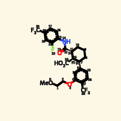 COCCOc1cc([C@H]2CCC[C@@H](C(=O)Nc3ccc(C(F)(F)F)cc3F)[C@@H]2C(=O)O)ccc1C(F)(F)F